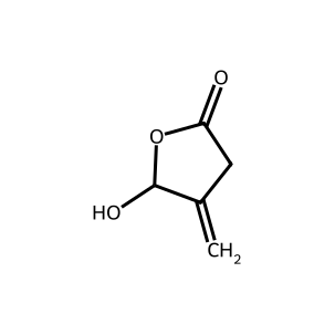 C=C1CC(=O)OC1O